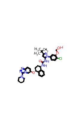 CC(C)(C)c1cc(NC(=O)N[C@H]2CC[C@@H](Oc3ccc4nnc(N5CCCCC5)n4c3)c3ccccc32)n(-c2ccc(Cl)c(OCO)c2)n1